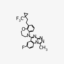 Cc1nnc2nc(N3CCCOc4c(CCC5(C(F)(F)F)CC5)cccc43)c3cc(F)ccc3n12